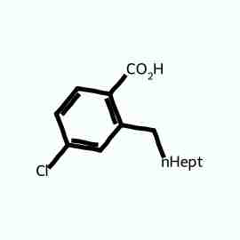 CCCCCCCCc1cc(Cl)ccc1C(=O)O